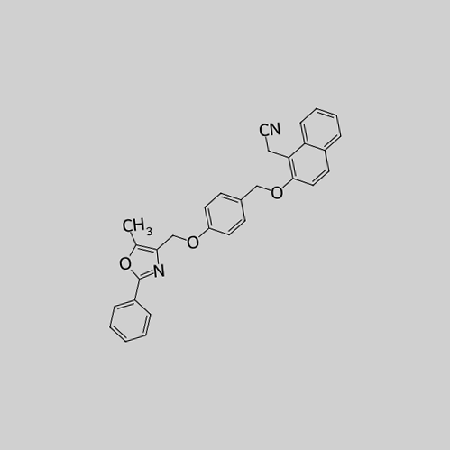 Cc1oc(-c2ccccc2)nc1COc1ccc(COc2ccc3ccccc3c2CC#N)cc1